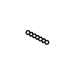 C1=c2cc3c(cc2Cc2cc4c(cc21)CCCC4)=Cc1cc2c(cc1C3)CCCC2